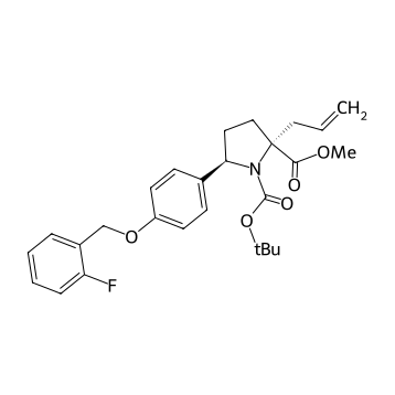 C=CC[C@@]1(C(=O)OC)CC[C@H](c2ccc(OCc3ccccc3F)cc2)N1C(=O)OC(C)(C)C